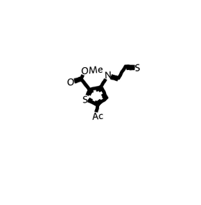 COC(=O)c1sc(C(C)=O)cc1N=CC=S